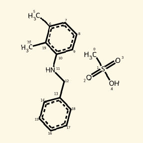 CS(=O)(=O)O.Cc1cccc(NCc2ccccc2)c1C